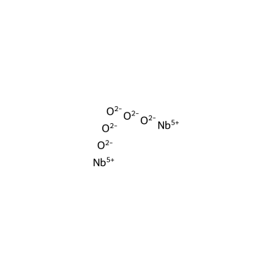 [Nb+5].[Nb+5].[O-2].[O-2].[O-2].[O-2].[O-2]